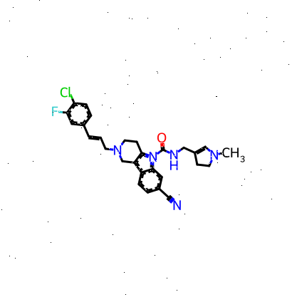 CN1C=C(CNC(=O)n2c3c(c4ccc(C#N)cc42)CN(CC=Cc2ccc(Cl)c(F)c2)CC3)CC1